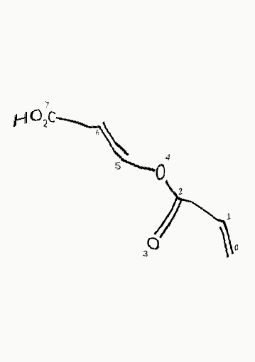 C=CC(=O)OC=CC(=O)O